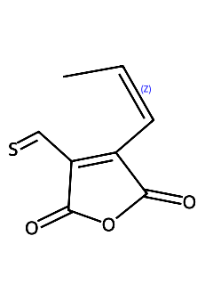 C/C=C\C1=C(C=S)C(=O)OC1=O